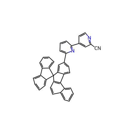 N#Cc1cc(-c2cccc(-c3ccc4c(c3)C3(c5ccccc5-c5ccccc53)c3ccc5ccccc5c3-4)n2)ccn1